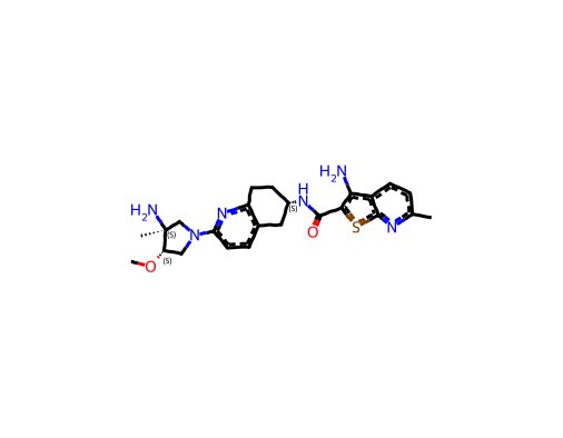 CO[C@H]1CN(c2ccc3c(n2)CC[C@H](NC(=O)c2sc4nc(C)ccc4c2N)C3)C[C@]1(C)N